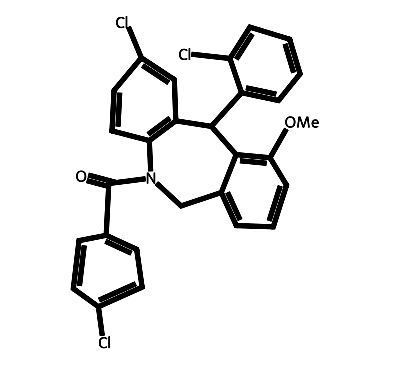 COc1cccc2c1C(c1ccccc1Cl)c1cc(Cl)ccc1N(C(=O)c1ccc(Cl)cc1)C2